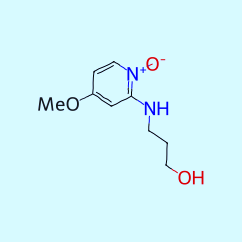 COc1cc[n+]([O-])c(NCCCO)c1